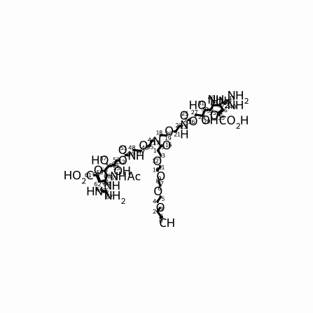 C#CCOCCOCCOCCOCCC(=O)N(CCOCCNC(=O)OC[C@@H](O)[C@@H](O)[C@@H]1OC(C(=O)O)=C[C@H](NC(=N)N)[C@H]1N)CCOCCNC(=O)OC[C@@H](O)[C@@H](O)[C@@H]1OC(C(=O)O)=C[C@H](NC(=N)N)[C@H]1NC(C)=O